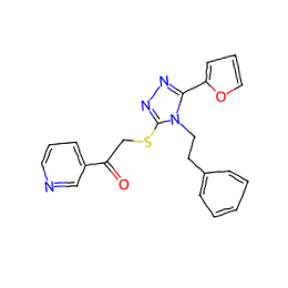 O=C(CSc1nnc(-c2ccco2)n1CCc1ccccc1)c1cccnc1